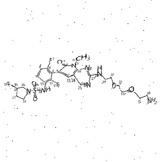 Cn1c(=O)c(-c2c(F)ccc(NS(=O)(=O)N3CC[C@@H](F)C3)c2F)cc2cnc(NCCOCCOCCN)nc21